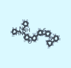 c1ccc(C2=NC(c3ccccc3)NC(c3ccc4oc5ccc(-c6ccc7sc8ccc(-n9c%10ccccc%10c%10ccccc%109)cc8c7c6)cc5c4c3)N2)cc1